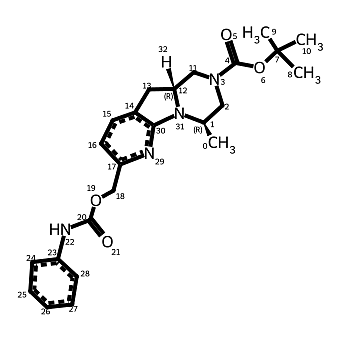 C[C@@H]1CN(C(=O)OC(C)(C)C)C[C@H]2Cc3ccc(COC(=O)Nc4ccccc4)nc3N21